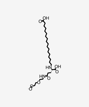 [O]OCCOCCNC(=O)CC[C@H](NCCCCCCCCCCCCCCCCCC(=O)O)C(=O)O